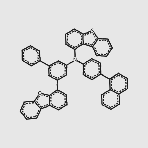 c1ccc(-c2cc(-c3cccc4c3oc3ccccc34)cc(N(c3ccc(-c4cccc5ccccc45)cc3)c3cccc4sc5ccccc5c34)c2)cc1